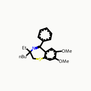 CCCCC1(CC)CSc2cc(OC)c(OC)cc2C(c2ccccc2)=N1